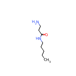 CCCCCNC(=O)CCN